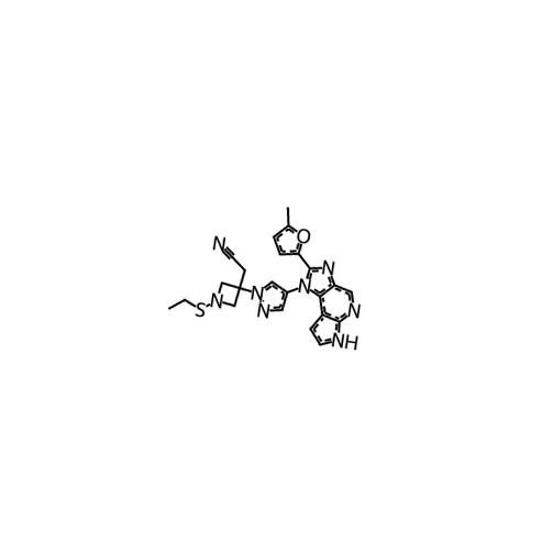 CCSN1CC(CC#N)(n2cc(-n3c(-c4ccc(C)o4)nc4cnc5[nH]ccc5c43)cn2)C1